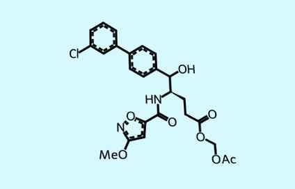 COc1cc(C(=O)N[C@H](CCC(=O)OCOC(C)=O)C(O)c2ccc(-c3cccc(Cl)c3)cc2)on1